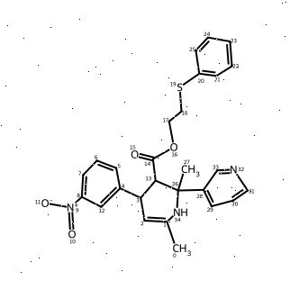 CC1=CC(c2cccc([N+](=O)[O-])c2)C(C(=O)OCCSc2ccccc2)C(C)(c2cccnc2)N1